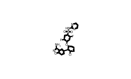 Nc1noc2ccc(-c3c(Cl)cccc3Oc3cc(F)c(S(=O)(=O)Nc4ncccn4)cc3F)cc12